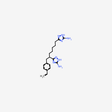 C=Cc1ccc(CC(CCCCCc2n[nH]c(N)n2)c2n[nH]c(N)n2)cc1